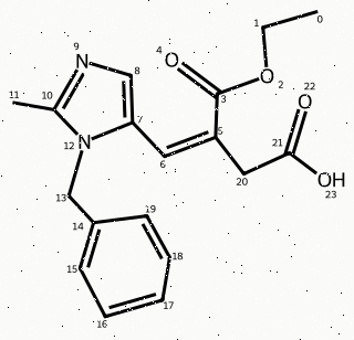 CCOC(=O)C(=Cc1cnc(C)n1Cc1ccccc1)CC(=O)O